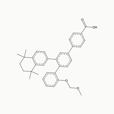 COCOc1ccccc1-c1ccc(-c2ccc(C(=O)O)cc2)cc1-c1ccc2c(c1)C(C)(C)CCC2(C)C